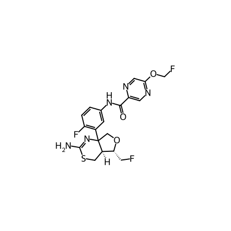 NC1=NC2(c3cc(NC(=O)c4cnc(OCF)cn4)ccc3F)CO[C@H](CF)[C@H]2CS1